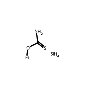 CCOC(N)=S.[SiH4]